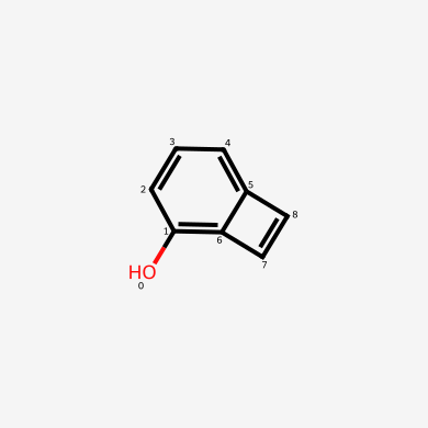 Oc1cccc2c1C=C2